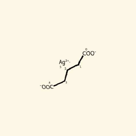 O=C([O-])CCCC(=O)[O-].[Ag+2]